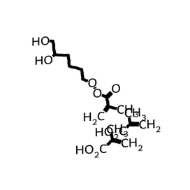 C=C(C)C(=O)O.C=C(C)C(=O)O.C=C(C)C(=O)OOCCCCC(O)CO